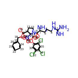 N=C(N)NCCC[C@H](N)C(=O)N1CCC(C(=O)OCc2ccccc2)[C@]1(C(=O)Oc1cc(Cl)c(Cl)cc1Cl)[N+](=O)[O-]